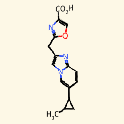 CC1CC1c1ccc2nc(Cc3nc(C(=O)O)co3)cn2c1